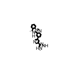 CN/C=C(\N=N)c1cncc(-c2ccc3ncnc(N[C@H](C)c4ccccc4)c3c2)c1